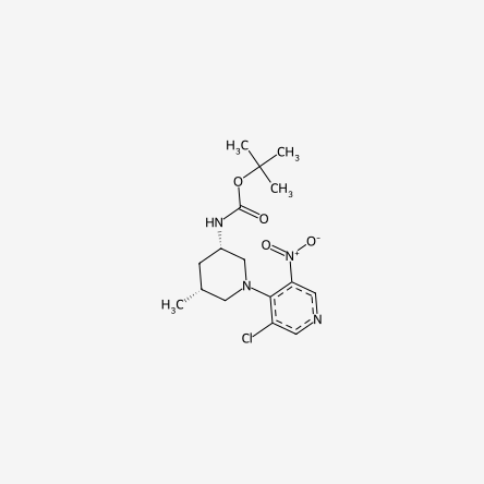 C[C@@H]1C[C@H](NC(=O)OC(C)(C)C)CN(c2c(Cl)cncc2[N+](=O)[O-])C1